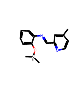 Cc1ccnc(C=Nc2ccccc2O[SiH](C)C)c1